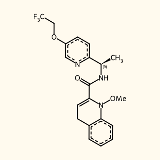 CON1C(C(=O)N[C@H](C)c2ccc(OCC(F)(F)F)cn2)=CCc2ccccc21